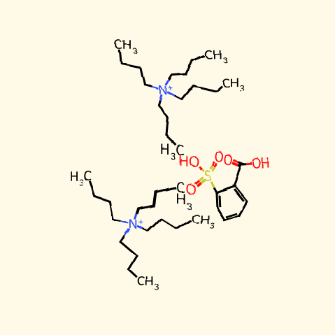 CCCC[N+](CCCC)(CCCC)CCCC.CCCC[N+](CCCC)(CCCC)CCCC.O=C(O)c1ccccc1S(=O)(=O)O